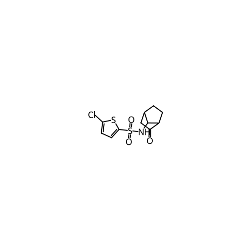 O=C1CC2CCC1C2NS(=O)(=O)c1ccc(Cl)s1